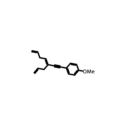 C=CCC=C(C#Cc1ccc(OC)cc1)CC=C